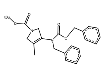 CC1=C(N(Cc2ccccc2)C(=O)OCc2ccccc2)CN(C(=O)OC(C)(C)C)C1